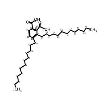 CCCCCCCCCCCCCc1ccc(C(=O)O)c(C(=O)O)c1CCCCCCCCCCCCC